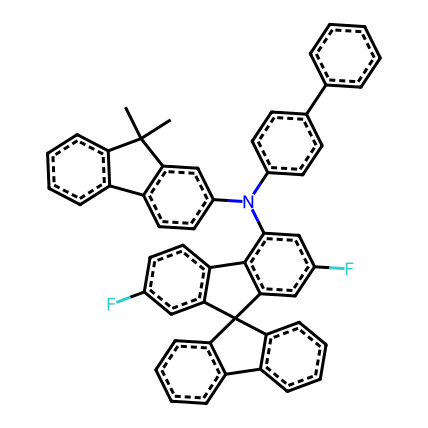 CC1(C)c2ccccc2-c2ccc(N(c3ccc(-c4ccccc4)cc3)c3cc(F)cc4c3-c3ccc(F)cc3C43c4ccccc4-c4ccccc43)cc21